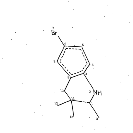 CC1Nc2ccc(Br)cc2CC1(C)C